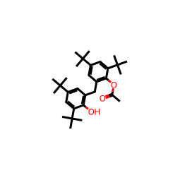 CC(=O)Oc1c(Cc2cc(C(C)(C)C)cc(C(C)(C)C)c2O)cc(C(C)(C)C)cc1C(C)(C)C